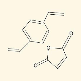 C=Cc1ccc(C=C)cc1.O=C1C=CC(=O)O1